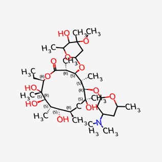 CC[C@H]1OC(=O)[C@H](C)[C@@H](OC2CC(C)(OC)C(O)C(C)O2)[C@H](C)[C@@H](OC2CC(N(C)C)CC(C)O2)[C@@](C)(O)C[C@@H](C)[C@H](O)[C@H](C)[C@@H](O)[C@]1(C)O